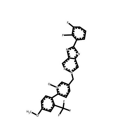 COc1ccc(-c2ccc(Cn3cc4nc(-c5cccc(F)c5F)nc-4cn3)c[n+]2[O-])c(C(F)(F)F)c1